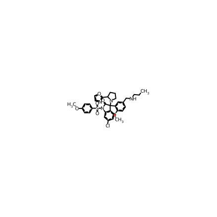 CCCNCc1ccc(OC)c(C2(N3CCCC3c3ncco3)C(=O)N(S(=O)(=O)c3ccc(OC)cc3)c3cc(Cl)ccc32)c1